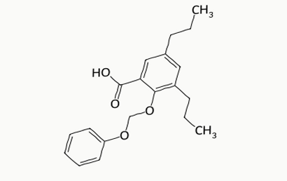 CCCc1cc(CCC)c(OCOc2ccccc2)c(C(=O)O)c1